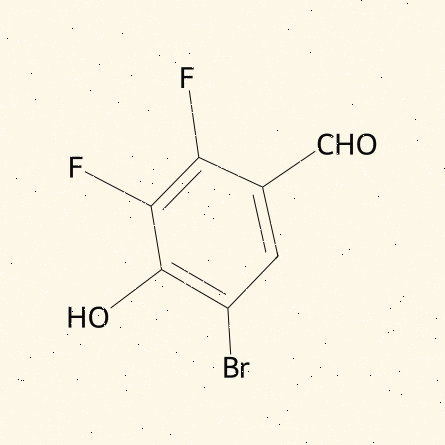 O=Cc1cc(Br)c(O)c(F)c1F